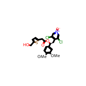 COc1ccc([C@H](Cc2c(Cl)c[n+]([O-])cc2Cl)OC(=O)Cc2ccc(CO)s2)cc1OC